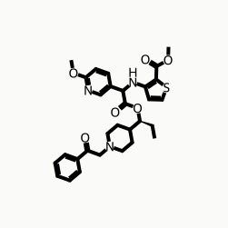 CC[C@H](OC(=O)C(Nc1ccsc1C(=O)OC)c1ccc(OC)nc1)C1CCN(CC(=O)c2ccccc2)CC1